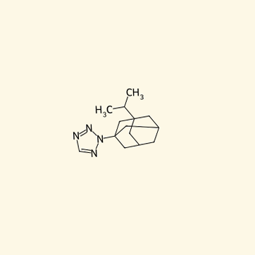 CC(C)C12CC3CC(C1)CC(n1ncnn1)(C3)C2